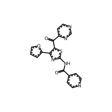 O=C(Nc1nc(-c2ccco2)c(C(=O)c2ccncn2)s1)c1ccncc1